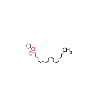 CCCCC/C=C\C/C=C\C/C=C\C/C=C\CCCC(=O)OC1CCCC1